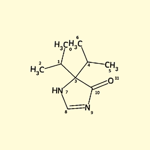 CC(C)C1(C(C)C)NC=NC1=O